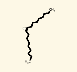 CCCCCCCC/C=C\CCCCCCCC.[Co]